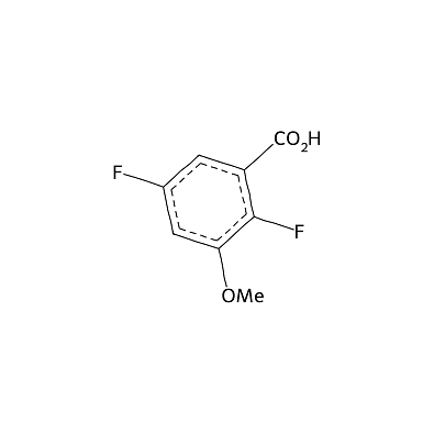 COc1cc(F)cc(C(=O)O)c1F